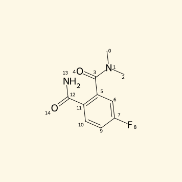 CN(C)C(=O)c1cc(F)ccc1C(N)=O